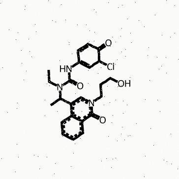 CCN(C(=O)NC1=CC(Cl)C(=O)C=C1)C(C)c1cn(CCCO)c(=O)c2ccccc12